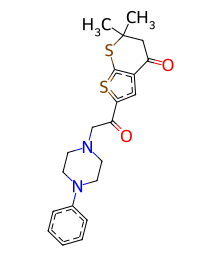 CC1(C)CC(=O)c2cc(C(=O)CN3CCN(c4ccccc4)CC3)sc2S1